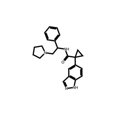 O=C(NC(CN1CCCC1)c1ccccc1)C1(c2ccc3[nH]ncc3c2)CC1